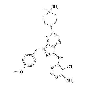 COc1ccc(Cn2nc(Nc3ccnc(N)c3Cl)c3ncc(N4CCC(C)(N)CC4)nc32)cc1